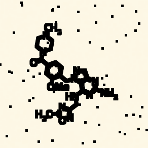 COc1cc(C(=O)N2CCN(C)CC2)ccc1Cn1ncc2nc(N)nc(NCc3noc(C)n3)c21